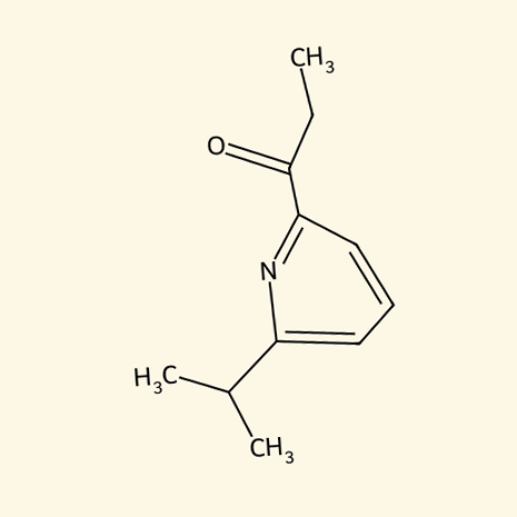 CCC(=O)c1cccc(C(C)C)n1